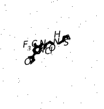 O=C(Cc1nc2c(C(F)(F)F)cc(-c3ccoc3)cn2c1Cl)NCc1cccs1